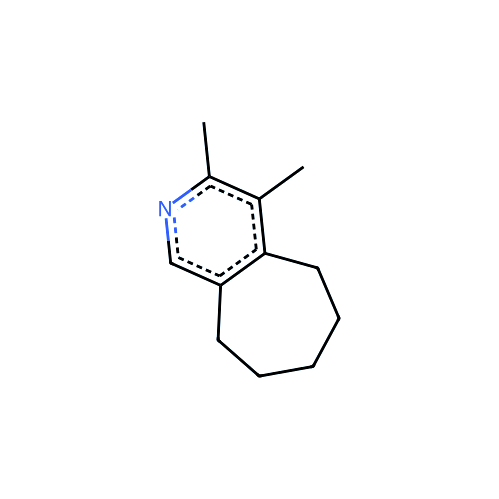 Cc1ncc2c(c1C)CCCCC2